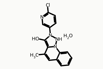 CC1=Cc2ccccc2N2NN(c3ccc(Cl)nc3)C(O)=C12.O